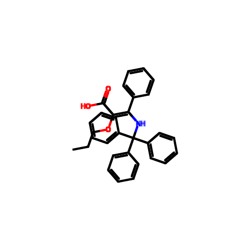 CCCOC(C(=O)O)=C(NC(c1ccccc1)(c1ccccc1)c1ccccc1)c1ccccc1